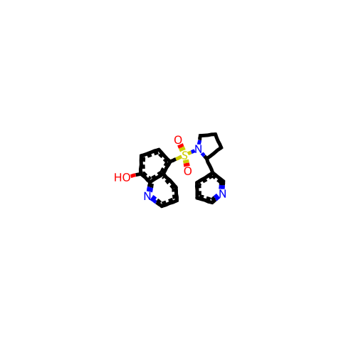 O=S(=O)(c1ccc(O)c2ncccc12)N1CCCC1c1cccnc1